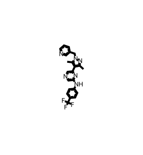 Cc1nn(Cc2cccnc2)c(C)c1-c1cncc(Nc2ccc(C(F)(F)F)cc2)n1